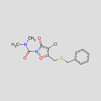 CN(C)C(=O)n1oc(CSCc2ccccc2)c(Cl)c1=O